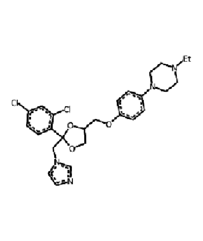 [CH2]CN1CCN(c2ccc(OCC3COC(Cn4ccnc4)(c4ccc(Cl)cc4Cl)O3)cc2)CC1